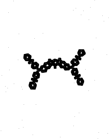 Cc1c2c(cc3oc4cc5cc(N(c6ccc(C(C)(C)c7ccccc7)cc6)c6ccc(C(C)(C)c7ccccc7)cc6)ccc5cc4c13)oc1cc3cc(N(c4ccc(C(C)(C)c5ccccc5)cc4)c4ccc(C(C)(C)c5ccccc5)cc4)ccc3cc12